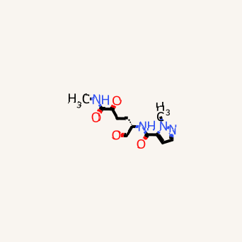 CNC(=O)C(=O)CC[C@@H](C=O)NC(=O)c1ccnn1C